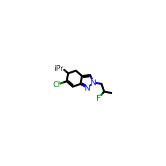 CC(F)Cn1cc2c(n1)C=C(Cl)C(C(C)C)C2